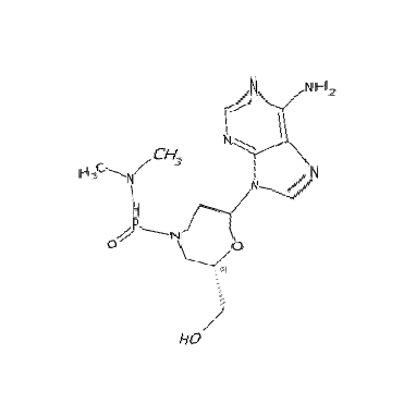 CN(C)[PH](=O)N1CC(n2cnc3c(N)ncnc32)O[C@H](CO)C1